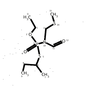 CCOP(=O)(SC(C)CC)N(C=O)CSC